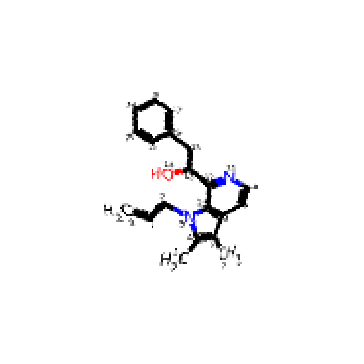 C=CCn1c(C)c(C)c2ccnc(C(O)Cc3ccccc3)c21